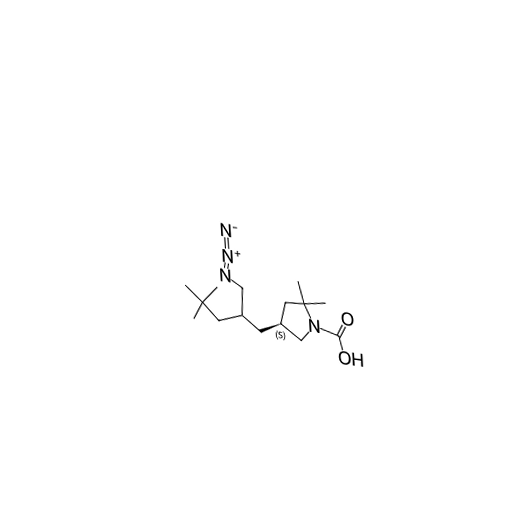 CC(C)(C)CC(CN=[N+]=[N-])C[C@@H]1CN(C(=O)O)C(C)(C)C1